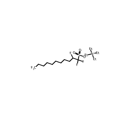 CC[N+](CC)(CC)CC.O=S(=O)([O-])C(F)(F)C(F)CCCCCCCCC(F)(F)F